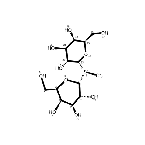 [O-][S+]([C@H]1O[C@H](CO)[C@H](O)[C@H](O)[C@H]1O)[C@H]1O[C@H](CO)[C@H](O)[C@H](O)[C@H]1O